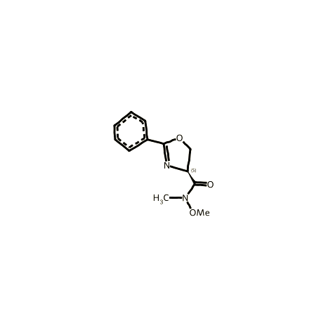 CON(C)C(=O)[C@@H]1COC(c2ccccc2)=N1